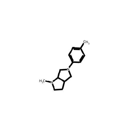 Cc1ccc(N2CC3CCN(C)C3C2)cc1